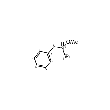 CO[SiH](Cc1ccccc1)C(C)C